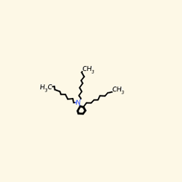 CCCCCCCCCc1ccccc1N(CCCCCCCCC)CCCCCCCCC